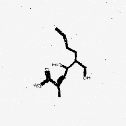 CCCCC(CO)C(O)C=C(C)C(=O)O